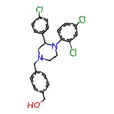 OCc1ccc(CN2CCN(c3ccc(Cl)cc3Cl)C(c3ccc(Cl)cc3)C2)cc1